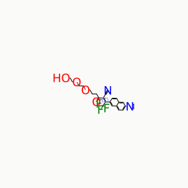 N#C/C(C(=O)CCCOCCOCCO)=C(\c1ccc2cc(N3CC3)ccc2c1)C(F)(F)F